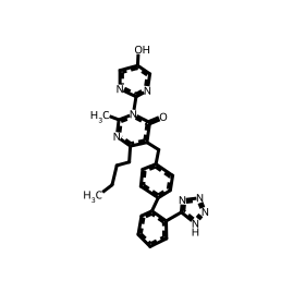 CCCCc1nc(C)n(-c2ncc(O)cn2)c(=O)c1Cc1ccc(-c2ccccc2-c2nnn[nH]2)cc1